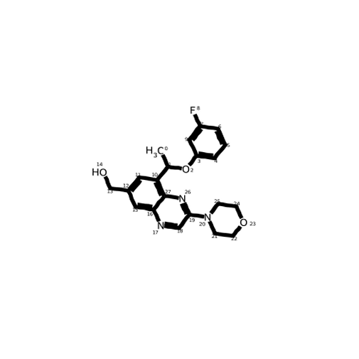 CC(Oc1cccc(F)c1)c1cc(CO)cc2ncc(N3CCOCC3)nc12